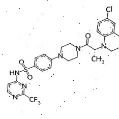 C[C@H](C(=O)N1CCN(c2ccc(S(=O)(=O)Nc3ccnc(C(F)(F)F)n3)cc2)CC1)N1CCCc2cc(Cl)ccc21